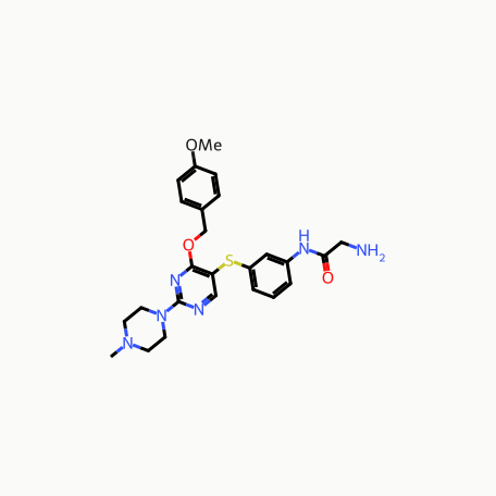 COc1ccc(COc2nc(N3CCN(C)CC3)ncc2Sc2cccc(NC(=O)CN)c2)cc1